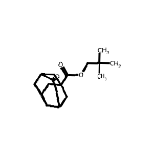 CC(C)(C)COC(=O)C12CC3CC(C1)C(=O)C(C3)C2